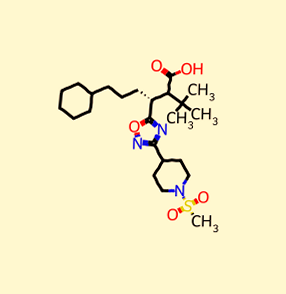 CC(C)(C)C(C(=O)O)[C@@H](CCCC1CCCCC1)c1nc(C2CCN(S(C)(=O)=O)CC2)no1